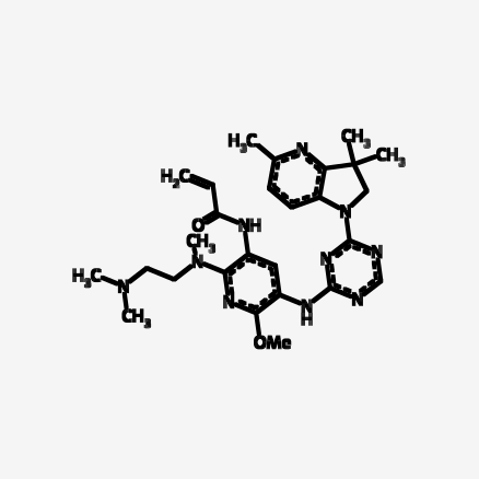 C=CC(=O)Nc1cc(Nc2ncnc(N3CC(C)(C)c4nc(C)ccc43)n2)c(OC)nc1N(C)CCN(C)C